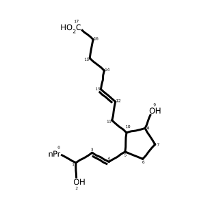 CCCC(O)C=CC1CCC(O)C1CC=CCCCC(=O)O